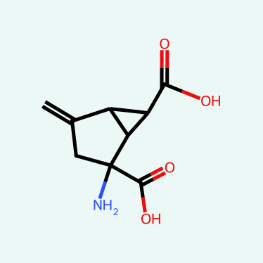 C=C1CC(N)(C(=O)O)C2C1C2C(=O)O